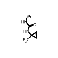 CC(C)NC(=O)NC1(C(F)(F)F)CC1